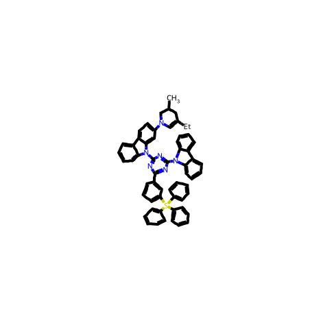 CCC1=CN(c2ccc3c4ccccc4n(-c4nc(-c5cccc(S(c6ccccc6)(c6ccccc6)c6ccccc6)c5)nc(-n5c6ccccc6c6ccccc65)n4)c3c2)CC(C)C1